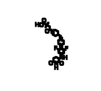 CC(C)(CC(=O)N1CCC(CN2CCN(c3c(F)cc(NC4CCC(=O)NC4=O)cc3F)CC2)CC1)C(=O)O